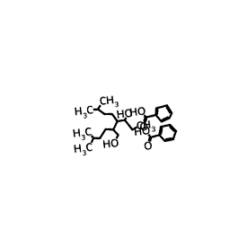 CCC(O)C(CCC(C)C)C(CO)CCC(C)C.O=C(O)c1ccccc1.O=C(O)c1ccccc1